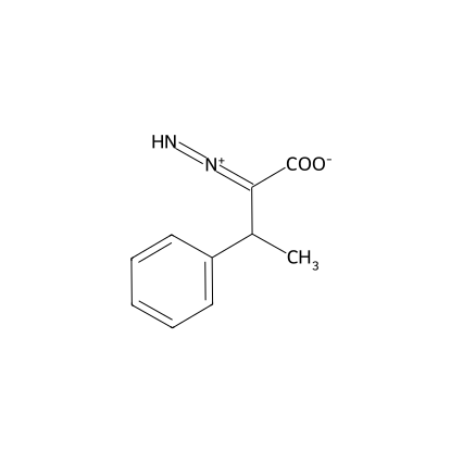 CC(C(=[N+]=N)C(=O)[O-])c1ccccc1